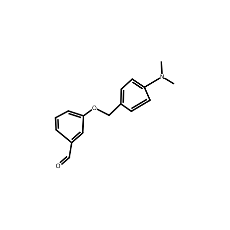 CN(C)c1ccc(COc2cccc(C=O)c2)cc1